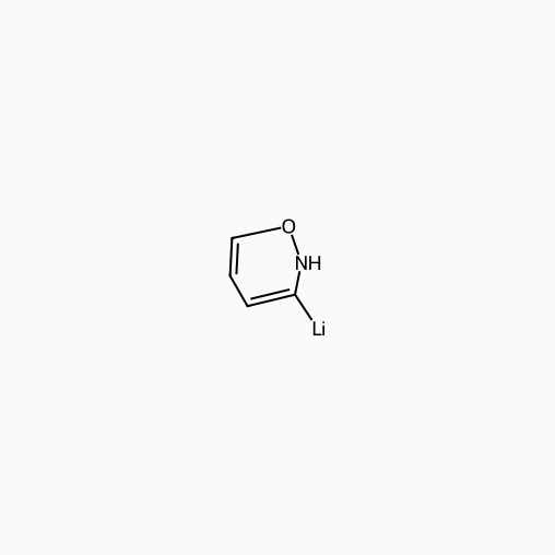 [Li][C]1=CC=CON1